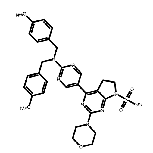 CCCS(=O)(=O)N1CCc2c(-c3cnc(N(Cc4ccc(OC)cc4)Cc4ccc(OC)cc4)nc3)nc(N3CCOCC3)nc21